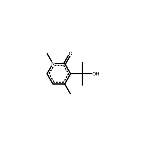 Cc1ccn(C)c(=O)c1C(C)(C)O